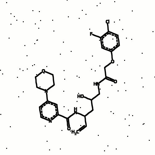 C=CC(CC(O)CNC(=O)COc1ccc(Cl)c(F)c1)NC(=O)c1cc(N2CCOCC2)ccn1